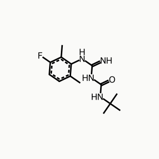 Cc1ccc(F)c(C)c1NC(=N)NC(=O)NC(C)(C)C